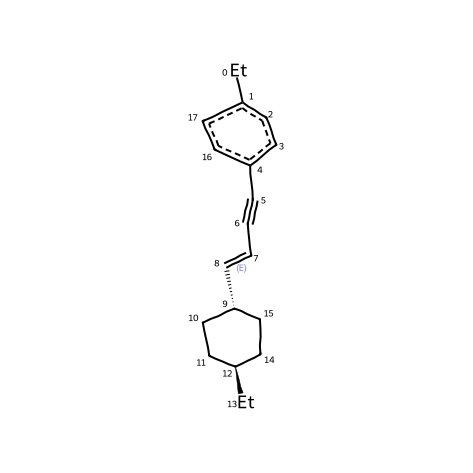 CCc1ccc(C#C/C=C/[C@H]2CC[C@H](CC)CC2)cc1